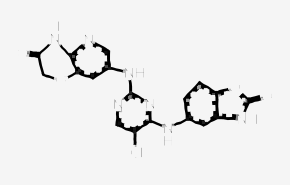 Cc1cnc(Nc2cnc3c(c2)OCC(=O)N3)nc1Nc1ccc2oc(=O)[nH]c2c1